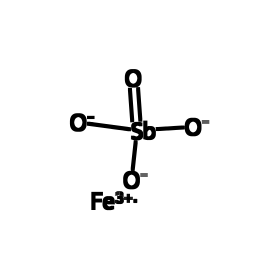 [Fe+3].[O]=[Sb]([O-])([O-])[O-]